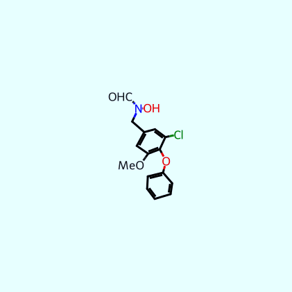 COc1cc(CN(O)C=O)cc(Cl)c1Oc1ccccc1